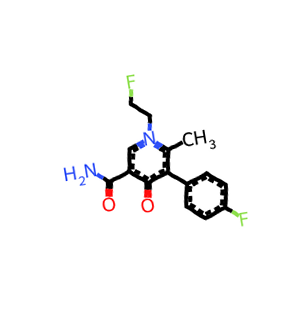 Cc1c(-c2ccc(F)cc2)c(=O)c(C(N)=O)cn1CCF